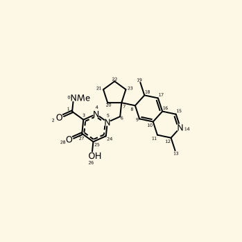 CNC(=O)c1nn(CC2(C3C=C4CC(C)N=CC4=CC3C)CCCC2)cc(O)c1=O